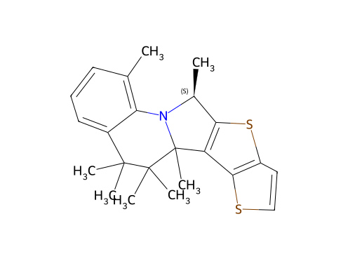 Cc1cccc2c1N1[C@@H](C)c3sc4ccsc4c3C1(C)C(C)(C)C2(C)C